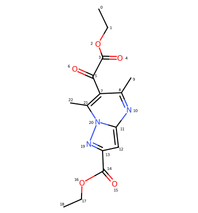 CCOC(=O)C(=O)c1c(C)nc2cc(C(=O)OCC)nn2c1C